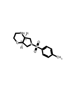 Cc1ccc(S(=O)(=O)N2C[C@@H]3NCCO[C@@H]3C2)cc1